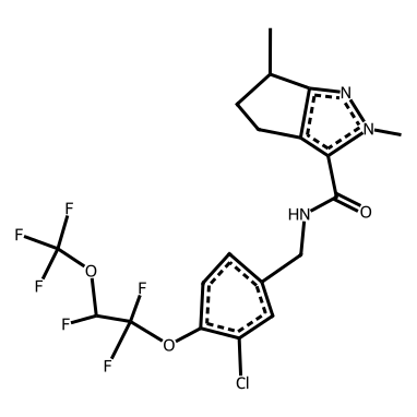 CC1CCc2c1nn(C)c2C(=O)NCc1ccc(OC(F)(F)C(F)OC(F)(F)F)c(Cl)c1